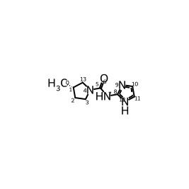 C[C@H]1CCN(C(=O)Nc2ncc[nH]2)C1